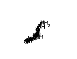 NCCCNCc1ccc(N2C=C3Oc4cc(-c5cnc(N6CCOCC6)nc5)ccc4NC3=NC2)cc1